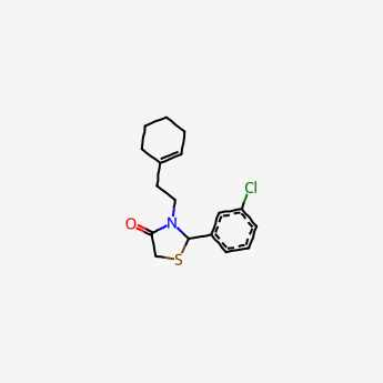 O=C1CSC(c2cccc(Cl)c2)N1CCC1=CCCCC1